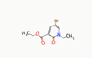 CCOC(=O)c1cc(Br)cn(CC)c1=O